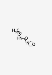 CN1CC(NC2OC2CN2CCOCC2)C1